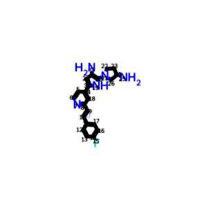 Nc1cc(-c2ccnc(/C=C/c3ccc(F)cc3)c2)[nH]c1N1CC[C@@H](N)C1